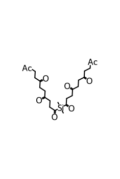 CC(=O)CCC(=O)CCC(=O)CCC(=O)[Si](C)(C)C(=O)CCC(=O)CCC(=O)CCC(C)=O